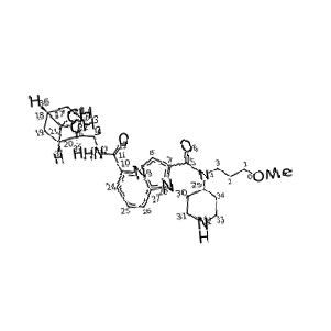 COCCCN(C(=O)c1cn2c(C(=O)NC[C@@H]3CC[C@H]4C[C@@H]3C4(C)C)cccc2n1)C1CCNCC1